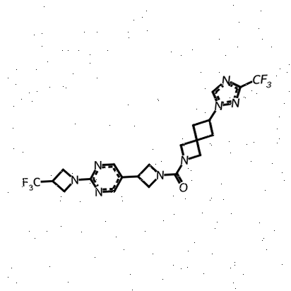 O=C(N1CC(c2cnc(N3CC(C(F)(F)F)C3)nc2)C1)N1CC2(CC(n3cnc(C(F)(F)F)n3)C2)C1